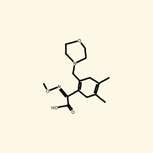 CON=C(C(=O)O)C1=C(CN2CCOCC2)CC(C)=C(C)C1